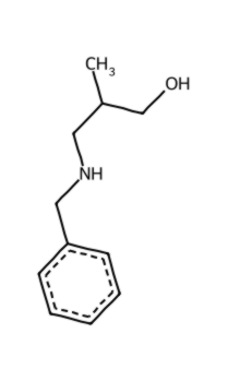 CC(CO)CNCc1ccccc1